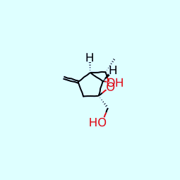 C=C1C[C@]2(CO)O[C@@H](C)[C@H]1[C@@H]2O